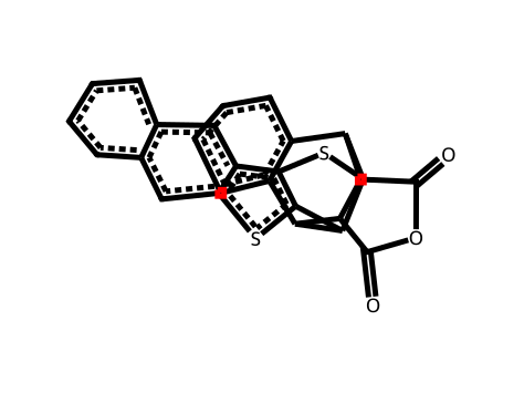 O=C1OC(=O)C2C1C1c3ccccc3C2C2c3sc4cc5ccccc5cc4c3SC12